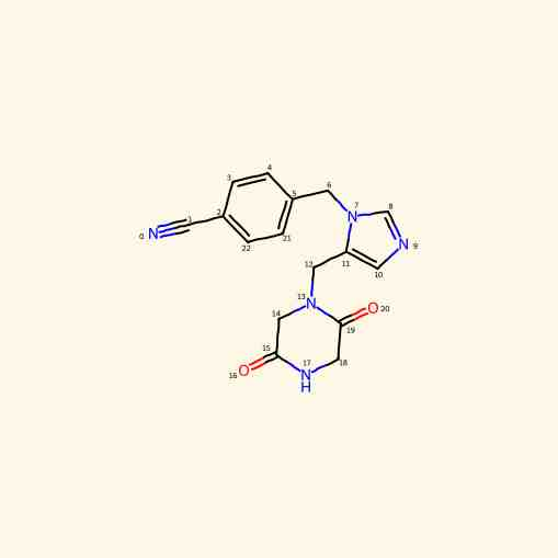 N#Cc1ccc(Cn2cncc2CN2CC(=O)NCC2=O)cc1